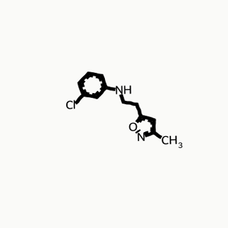 Cc1cc(CCNc2cccc(Cl)c2)on1